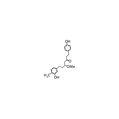 CO[C@@H](CCc1ccc(C)c(O)c1)CC(=O)CCc1ccc(O)cc1